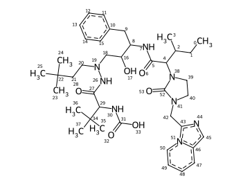 CCC(C)C(C(=O)NC(Cc1ccccc1)C(O)CN(CCC(C)(C)C)NC(=O)C(NC(=O)O)C(C)(C)C)N1CCN(Cc2ncc3ccccn23)C1=O